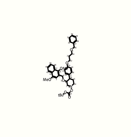 COc1cc(COC2CN(OC(=O)OC(C)(C)C)CCC2c2ccc(OCCCOCc3ccccc3)cc2)c(OC)c2ccccc12